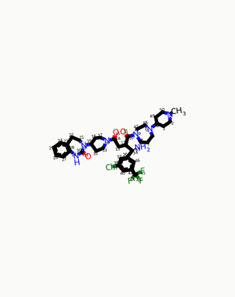 CN1CCC(N2CCCN(C(=O)C(CC(=O)N3CCC(N4CCc5ccccc5NC4=O)CC3)[C@H](N)c3cc(Cl)cc(C(F)(F)F)c3)CC2)CC1